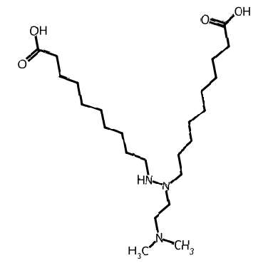 CN(C)CCN(CCCCCCCCCC(=O)O)NCCCCCCCCCC(=O)O